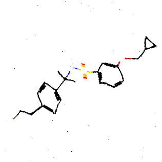 CC(C)(NS(=O)(=O)c1cccc(OCC2CC2)c1)c1ccc(CCBr)cc1